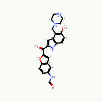 O=CNc1ccc2oc(C(=O)c3cc4c(CN5CCNCC5)c(O)ccc4[nH]3)cc2c1